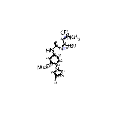 C=C(/N=C(\C=C(/N)C(F)(F)F)C(C)(C)C)Nc1ccc(-n2cnc(C)c2)c(OC)c1